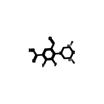 C[C@@H]1CN(c2c(C=O)cc(C(=O)O)c(F)c2F)C[C@H](C)O1